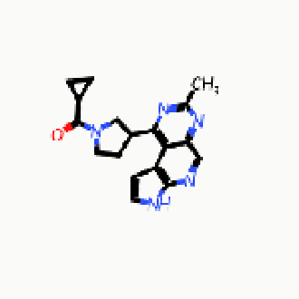 Cc1nc(C2CCN(C(=O)C3CC3)C2)c2c(cnc3[nH]ccc32)n1